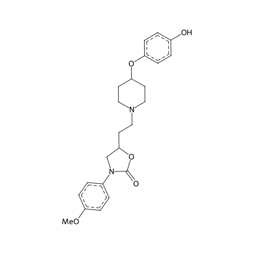 COc1ccc(N2CC(CCN3CCC(Oc4ccc(O)cc4)CC3)OC2=O)cc1